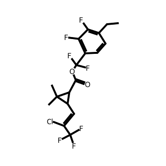 CCc1ccc(C(F)(F)OC(=O)C2C(C=C(Cl)C(F)(F)F)C2(C)C)c(F)c1F